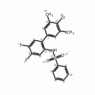 Cc1cc(-c2cc(F)c(F)cc2NS(=O)(=O)c2ccccc2)cc(C)c1Cl